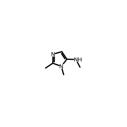 CNc1cnc(C)n1C